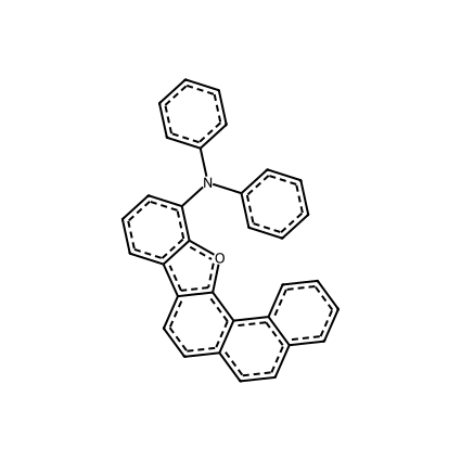 c1ccc(N(c2ccccc2)c2cccc3c2oc2c3ccc3ccc4ccccc4c32)cc1